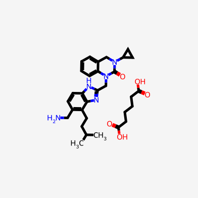 CC(C)CCc1c(CN)ccc2[nH]c(CN3C(=O)N(C4CC4)Cc4ccccc43)nc12.O=C(O)CCCCC(=O)O